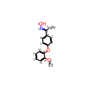 CCCC(=NO)c1ccc(Oc2ccccc2OCC)cc1